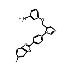 Nc1cccc(OCc2cncn2-c2ccc(-c3nc4ccc(F)cc4s3)cc2)c1